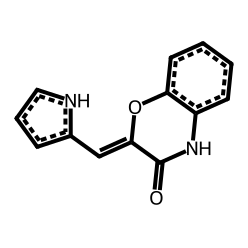 O=C1Nc2ccccc2OC1=Cc1ccc[nH]1